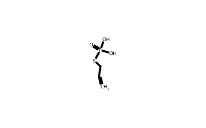 C=CCSP(=O)(O)O